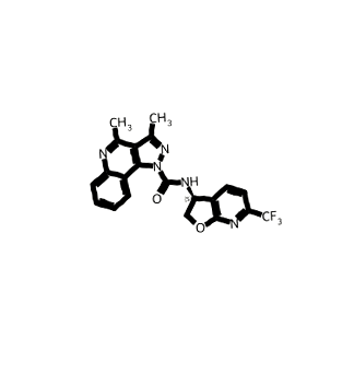 Cc1nc2ccccc2c2c1c(C)nn2C(=O)N[C@@H]1COc2nc(C(F)(F)F)ccc21